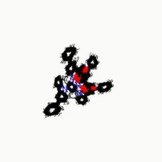 N#Cc1c(-n2c3ccccc3c3cc(-c4ccccc4)ccc32)c(C#N)c(-n2c3ccccc3c3cc(-c4ccccc4)ccc32)c(-n2c3ccccc3c3cc(-c4ccccc4)ccc32)c1-n1c2ccccc2c2cc(-c3ccccc3)ccc21